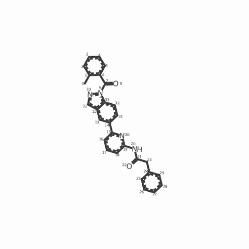 Cc1ccccc1C(=O)n1ncc2cc(-c3cccc(NC(=O)Cc4ccccc4)n3)ccc21